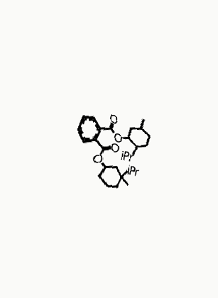 CC1CCC(C(C)C)C(OC(=O)c2ccccc2C(=O)OC2CCCC(C)(C(C)C)C2)C1